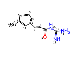 CC(C)(C)c1cccc(/C=C/C(=O)NC(=N)N)c1